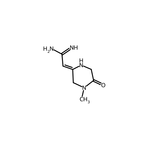 CN1C/C(=C/C(=N)N)NCC1=O